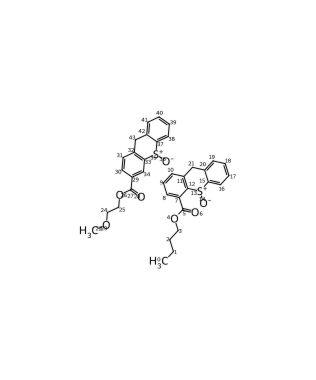 CCCCOC(=O)c1cccc2c1[S+]([O-])c1ccccc1C2.COCCOC(=O)c1ccc2c(c1)[S+]([O-])c1ccccc1C2